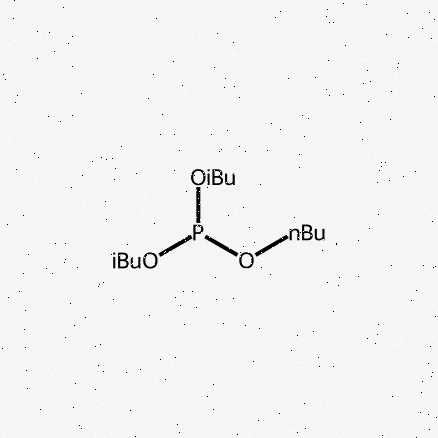 CCCCOP(OCC(C)C)OCC(C)C